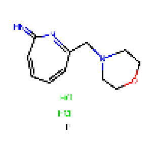 Cl.Cl.N=c1ccccc(CN2CCOCC2)n1.[H+]